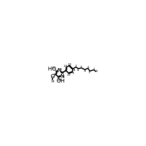 CCCCCCCCc1ccc(-c2nc(O)c(OC)c(O)n2)cc1